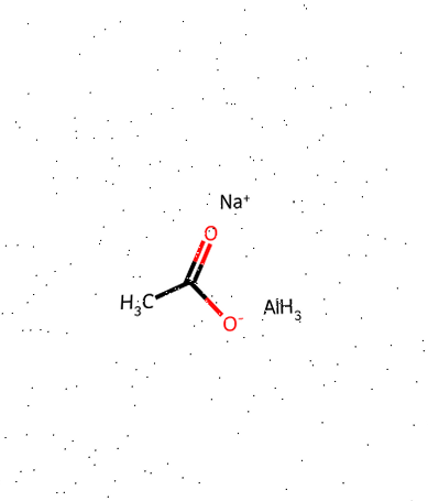 CC(=O)[O-].[AlH3].[Na+]